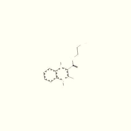 Cc1c(C(=O)OCCO)[n+]([O-])c2ccccc2[n+]1[O-]